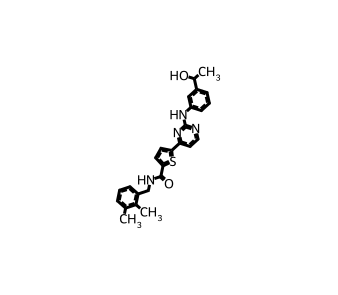 Cc1cccc(CNC(=O)c2ccc(-c3ccnc(Nc4cccc(C(C)O)c4)n3)s2)c1C